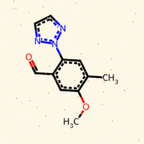 COc1cc(C=O)c(-n2nccn2)cc1C